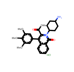 COC(=O)c1c(-c2cc(OC)c(OC)c(OC)c2)c2ccccc2c(=O)n1C1CCC(N)CC1.Cl